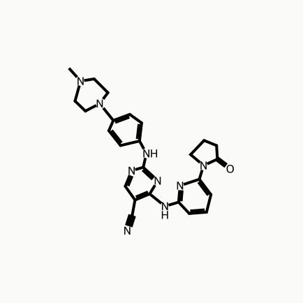 CN1CCN(c2ccc(Nc3ncc(C#N)c(Nc4cccc(N5CCCC5=O)n4)n3)cc2)CC1